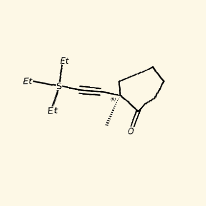 CCS(C#C[C@@]1(C)CCCCC1=O)(CC)CC